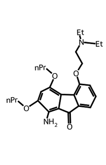 CCCOc1cc(OCCC)c2c(c1N)C(=O)c1cccc(OCCN(CC)CC)c1-2